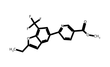 CCc1cc2cc(-c3ccc(C(=O)OC)cn3)cc(C(F)(F)F)c2o1